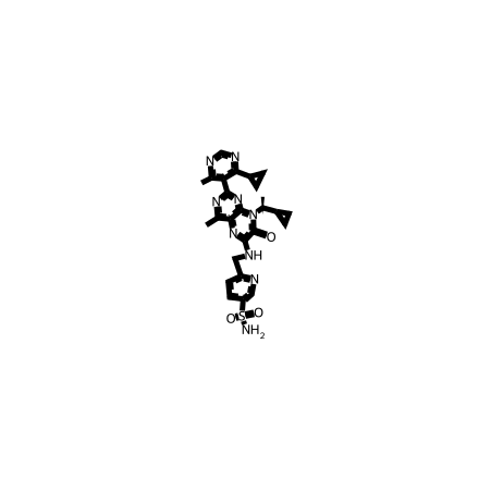 Cc1ncnc(C2CC2)c1-c1nc(C)c2nc(NCc3ccc(S(N)(=O)=O)cn3)c(=O)n([C@@H](C)C3CC3)c2n1